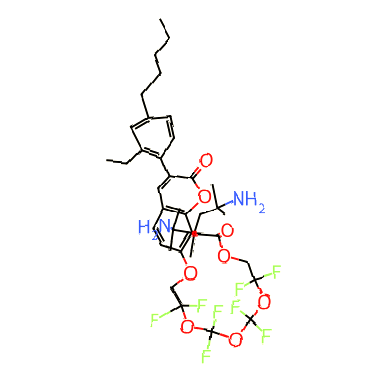 CCCCCc1ccc(-c2cc3ccc(OCC(F)(F)OC(F)(F)OC(F)(F)OC(F)(F)COC(=O)C(C)(CC(C)(C)N)C(C)(C)N)cc3oc2=O)c(CC)c1